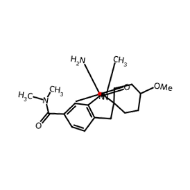 COC1CCC2(CC1)Cc1ccc(C(=O)N(C)C)cc1C21N=C(N)N(C)C1=O